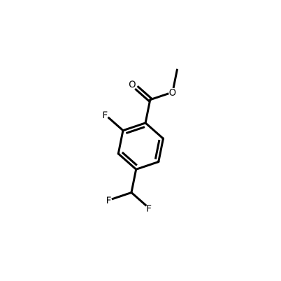 COC(=O)c1ccc(C(F)F)cc1F